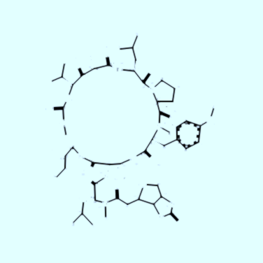 CC[C@H](C)[C@@H]1CCC(=O)O[C@@H](C(C)C)C(=O)[C@H](C)C(=O)N[C@@H](CC(C)C)C(=O)N2CCC[C@H]2C(=O)N(C)[C@@H](Cc2ccc(OC)cc2)C(=O)O[C@H](C)[C@H](NC(=O)[C@@H](CC(C)C)N(C)C(=O)CC2SCC3NC(=O)NC32)C(=O)N1